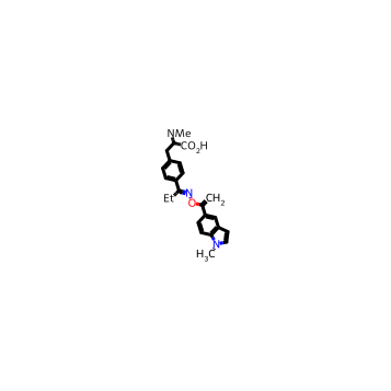 C=C(O/N=C(\CC)c1ccc(CC(NC)C(=O)O)cc1)c1ccc2c(ccn2C)c1